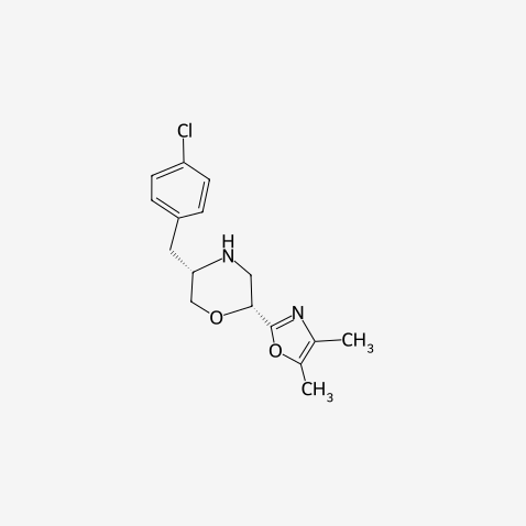 Cc1nc([C@H]2CN[C@@H](Cc3ccc(Cl)cc3)CO2)oc1C